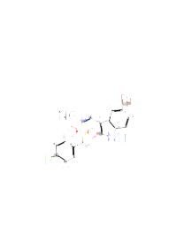 N#C/C(=C/c1c[nH]c2ccc(Br)cc12)S(=O)(=O)Cc1ccc(F)cc1